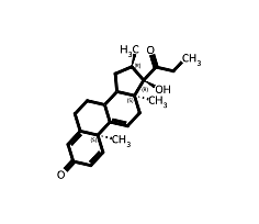 CCC(=O)[C@@]1(O)[C@H](C)CC2C3CCC4=CC(=O)C=C[C@]4(C)C3=CC[C@@]21C